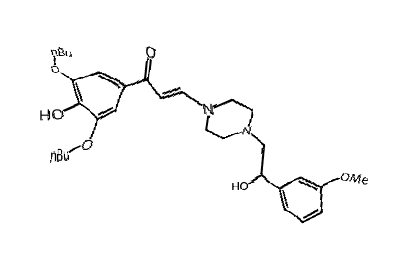 CCCCOc1cc(C(=O)C=CN2CCN(CC(O)c3cccc(OC)c3)CC2)cc(OCCCC)c1O